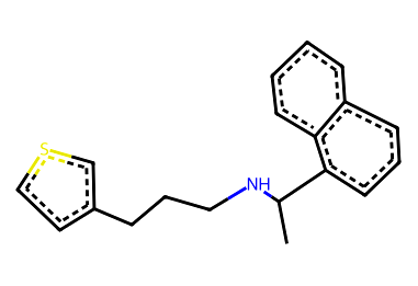 CC(NCCCc1ccsc1)c1cccc2ccccc12